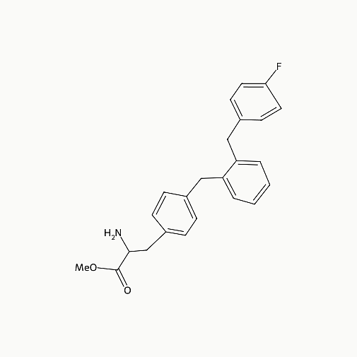 COC(=O)C(N)Cc1ccc(Cc2ccccc2Cc2ccc(F)cc2)cc1